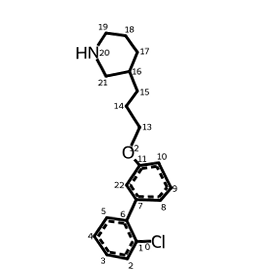 Clc1ccccc1-c1cccc(OCCCC2CCCNC2)c1